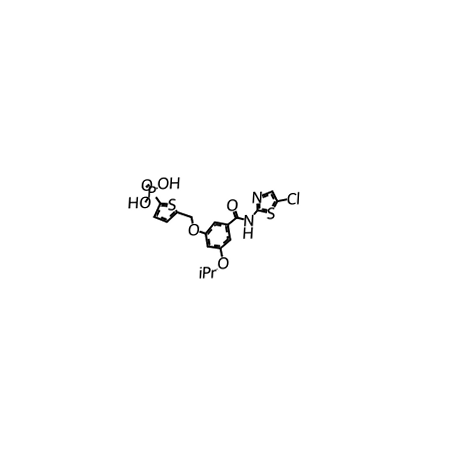 CC(C)Oc1cc(OCc2ccc(P(=O)(O)O)s2)cc(C(=O)Nc2ncc(Cl)s2)c1